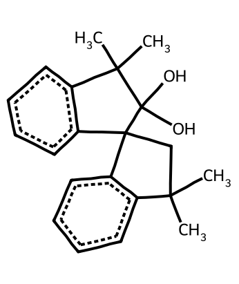 CC1(C)CC2(c3ccccc31)c1ccccc1C(C)(C)C2(O)O